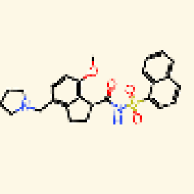 COc1ccc(CN2CCCC2)c2c1C(C(=O)NS(=O)(=O)c1cccc3ccccc13)CC2